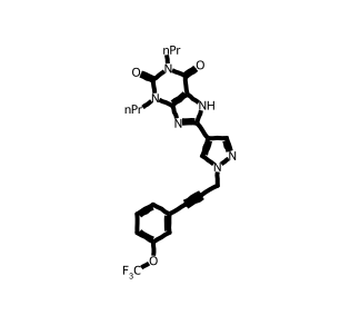 CCCn1c(=O)c2[nH]c(-c3cnn(CC#Cc4cccc(OC(F)(F)F)c4)c3)nc2n(CCC)c1=O